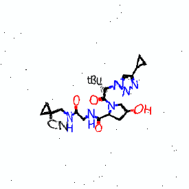 CC(C)(C)[C@@H](C(=O)N1CC(O)CC1C(=O)NCC(=O)NCC1(C#N)CC1)n1cc(C2CC2)nn1